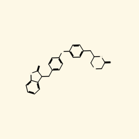 O=C1COCC(Cc2ccc(Oc3ccc(CC4C(=O)Nc5ccccc54)cc3)cc2)N1